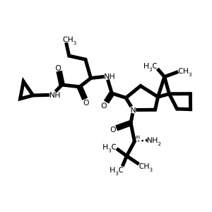 CCCC(NC(=O)C1CC2(CN1C(=O)[C@H](N)C(C)(C)C)C(C)(C)C21CCC1)C(=O)C(=O)NC1CC1